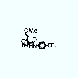 COCCc1oncc1C(=O)Nc1ccc(C(F)(F)F)cc1